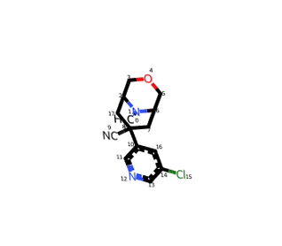 CN1C2COCC1CC(C#N)(c1cncc(Cl)c1)C2